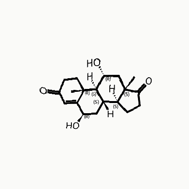 C[C@]12CCC(=O)C=C1[C@H](O)C[C@@H]1[C@@H]2[C@H](O)C[C@]2(C)C(=O)CC[C@@H]12